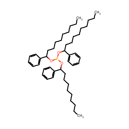 CCCCCCCCCC(OP(OC(CCCCCCCCC)c1ccccc1)OC(CCCCCCCCC)c1ccccc1)c1ccccc1